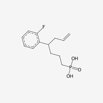 C=CCC(CCCP(=O)(O)O)c1ccccc1F